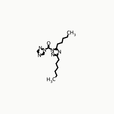 CCCCCCc1nc(CCCCC)n(C(=O)n2cncn2)n1